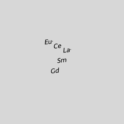 [Ce].[Eu].[Gd].[La].[Sm]